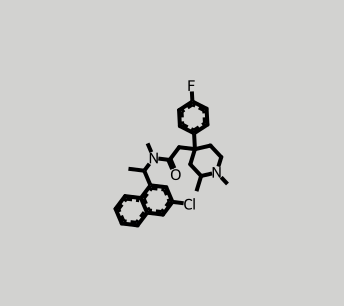 CC1CC(CC(=O)N(C)C(C)c2cc(Cl)cc3ccccc23)(c2ccc(F)cc2)CCN1C